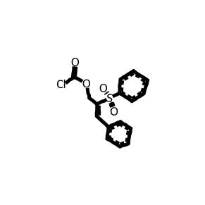 O=C(Cl)OCC(=Cc1ccccc1)S(=O)(=O)c1ccccc1